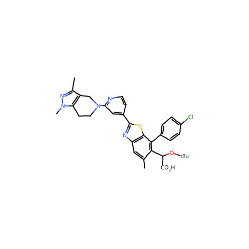 Cc1cc2nc(-c3ccnc(N4CCc5c(c(C)nn5C)C4)c3)sc2c(-c2ccc(Cl)cc2)c1C(OC(C)(C)C)C(=O)O